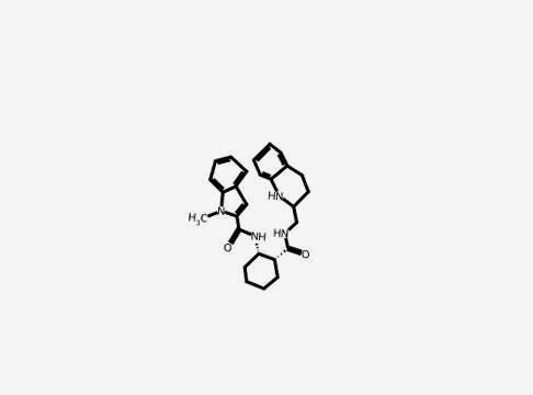 Cn1c(C(=O)N[C@H]2CCCC[C@H]2C(=O)NCC2CCc3ccccc3N2)cc2ccccc21